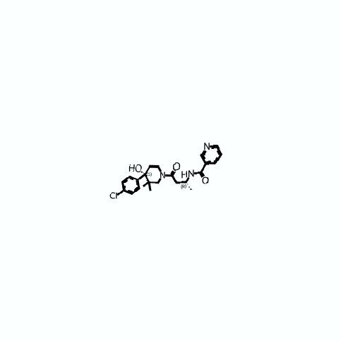 C[C@H](CC(=O)N1CC[C@](O)(c2ccc(Cl)cc2)C(C)(C)C1)NC(=O)c1cccnc1